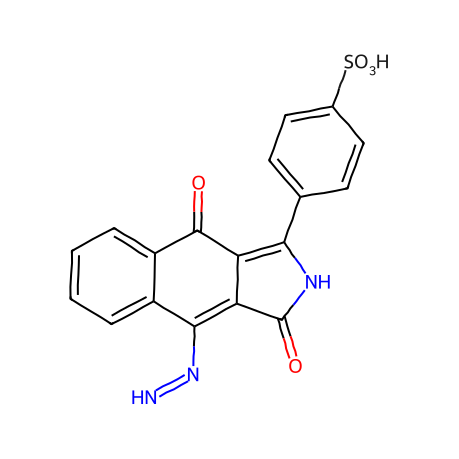 N=NC1=C2C(=O)NC(c3ccc(S(=O)(=O)O)cc3)=C2C(=O)c2ccccc21